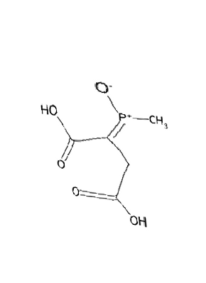 C/[P+]([O-])=C(\CC(=O)O)C(=O)O